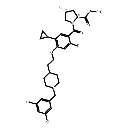 COC(=O)[C@@H]1C[C@@H](F)CN1C(=O)c1cc(C2CC2)c(OCCC2CCN(Cc3cc(Cl)cc(Cl)c3)CC2)cc1F